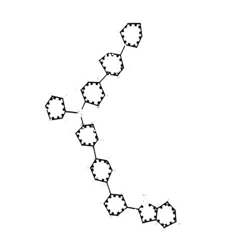 c1ccc(-c2ccc(-c3ccc(N(c4ccccc4)c4ccc(-c5ccc(-c6cccc(-c7cc8ccccc8o7)c6)cc5)cc4)cc3)cc2)cc1